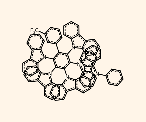 FC(F)(F)c1cccc(-c2c(-n3c4ccccc4c4ccccc43)c(-n3c4ccccc4c4ccccc43)c(-n3c4ccccc4c4ccc5c(c6ccccc6n5-c5ccccc5)c43)c(-n3c4ccccc4c4ccccc43)c2-n2c3ccccc3c3ccccc32)c1